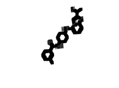 Cc1cccc(C(=O)NC2CCC(Pc3cccc4nc(C(C)F)cn34)CC2)c1